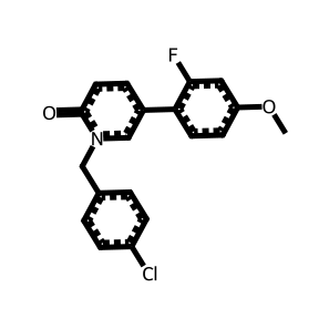 COc1ccc(-c2ccc(=O)n(Cc3ccc(Cl)cc3)c2)c(F)c1